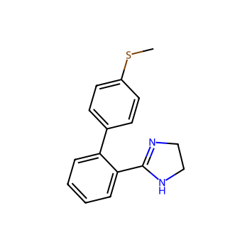 CSc1ccc(-c2ccccc2C2=NCCN2)cc1